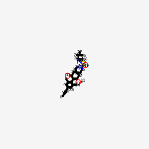 CC#Cc1cc(C)c(C2=C(OC)CC3(CCN(S(C)(=O)=N[Si](C)(C)C(C)(C)C)CC3)CC2=O)c(C)c1